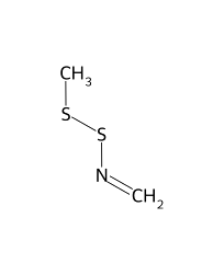 C=NSSC